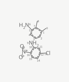 Cc1cccc(N)c1C.Nc1cc(Cl)ccc1[N+](=O)[O-]